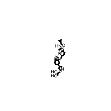 O=C(Nc1cn2nc(Cn3nnc4ccc(-c5cnn(C[C@@H](O)CO)c5)cc43)ccc2n1)C1CC1